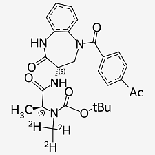 [2H]C([2H])([2H])N(C(=O)OC(C)(C)C)[C@@H](C)C(=O)N[C@H]1CN(C(=O)c2ccc(C(C)=O)cc2)c2ccccc2NC1=O